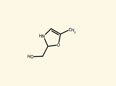 CC1=CNC(CO)O1